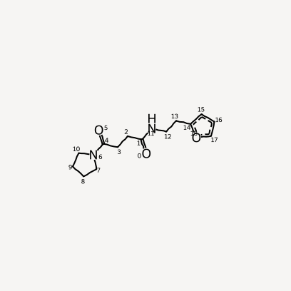 O=C(CCC(=O)N1CCCC1)NCCc1ccco1